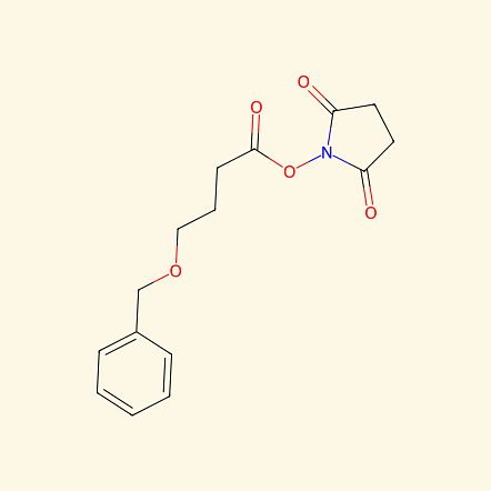 O=C(CCCOCc1ccccc1)ON1C(=O)CCC1=O